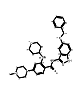 CN1CCN(c2ccc(C(=O)Nc3n[nH]c4ccc(OCc5ccccc5)cc34)c(NC3CCOCC3)c2)CC1